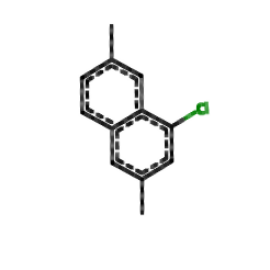 Cc1cc(Cl)c2cc(C)ccc2c1